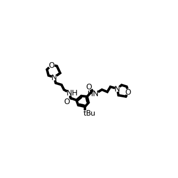 CC(C)(C)c1cc(C(=O)NCCCN2CCOCC2)cc(C(=O)NCCCN2CCOCC2)c1